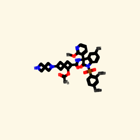 CCOc1ncccc1C1(NC(=O)C2CC3(CC(N4CC5(CNC5)C4)C3)C2OC(=O)C(F)(F)F)C(=O)N(S(=O)(=O)c2ccc(OC)cc2OC)c2ccc(C#N)cc21